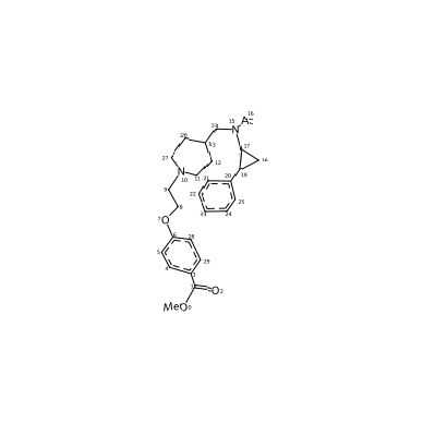 COC(=O)c1ccc(OCCN2CCC(CN(C(C)=O)C3CC3c3ccccc3)CC2)cc1